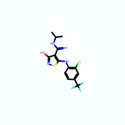 CC(C)NC(=N)c1c(O)nsc1Nc1ccc(C(F)(F)F)cc1Cl